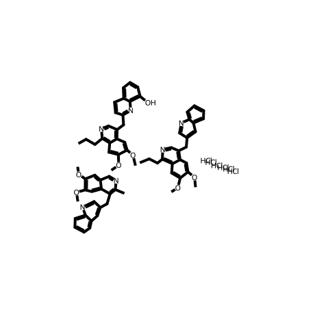 CCCc1ncc(Cc2ccc3cccc(O)c3n2)c2cc(OC)c(OC)cc12.CCCc1ncc(Cc2cnc3ccccc3c2)c2cc(OC)c(OC)cc12.COc1cc2cnc(C)c(Cc3cnc4ccccc4c3)c2cc1OC.Cl.Cl.Cl.Cl.Cl.Cl